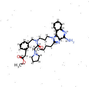 CCCCc1nc2c(N)nc3ccccc3c2n1CCCN(Cc1cccc(CC(=O)OC)c1)C(=O)CN1CCCC1